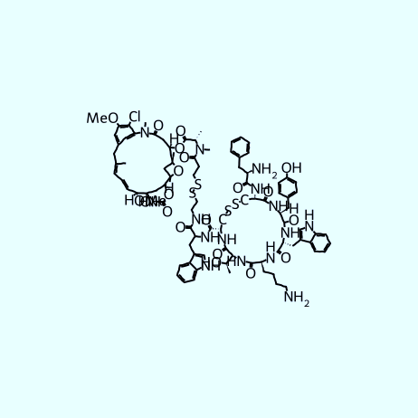 COc1cc2cc(c1Cl)N(C)C(=O)C[C@H](OC(=O)[C@H](C)N(C)C(=O)CCSSCCNC(=O)C(Cc1c[nH]c3ccccc13)NC(=O)[C@@H]1CSSC[C@H](NC(=O)[C@H](N)Cc3ccccc3)C(=O)N[C@@H](Cc3ccc(O)cc3)C(O)N[C@H](Cc3c[nH]c4ccccc34)C(=O)N[C@@H](CCCCN)C(=O)N[C@@H]([C@@H](C)O)C(=O)N1)[C@@]1(C)CC(C)(O1)[C@@H]1C[C@@](O)(NC(=O)O1)[C@H](OC)/C=C/C=C(\C)C2